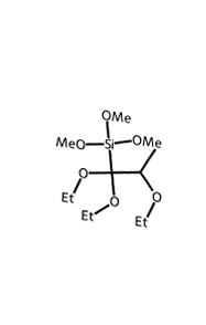 CCOC(C)C(OCC)(OCC)[Si](OC)(OC)OC